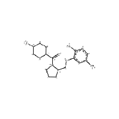 N#Cc1ncc(C(F)(F)F)cc1OCC1CCCN1C(=O)C1CCC(C(F)(F)F)CC1